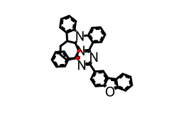 c1ccc(-c2nc(-c3ccc4oc5ccccc5c4c3)nc(-c3ccccc3N3c4ccccc4C4CCCCCC43)n2)cc1